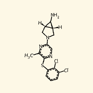 Cc1nc(N2C[C@@H]3C(N)[C@@H]3C2)cnc1Sc1cccc(Cl)c1Cl